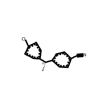 C[C@H](c1ccc(Cl)cc1)c1ccc(C#N)cc1